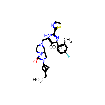 CCOC(=O)C1=C(CN2CCN3C(=O)N(C45CC(CC(=O)O)(C4)C5)CC3C2)NC(c2nccs2)=NC1c1ccc(F)cc1C